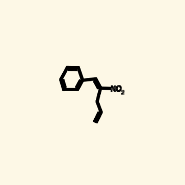 C=CCC(=Cc1ccccc1)[N+](=O)[O-]